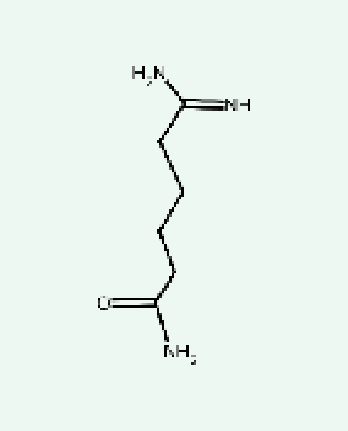 N=C(N)CCCCC(N)=O